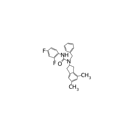 Cc1cc(C)c2c(c1)CC(N(Cc1ccccc1)C(=O)Nc1ccc(F)cc1F)C2